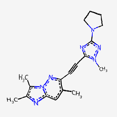 Cc1cc2nc(C)c(C)n2nc1C#Cc1nc(N2CCCC2)nn1C